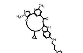 Cc1cc2cc(n1)-c1cnn(C)c1OCCCC(C1CC1)CN1/C(=N/C2=O)Nc2cc(NCCCN3CCCC3)ccc21